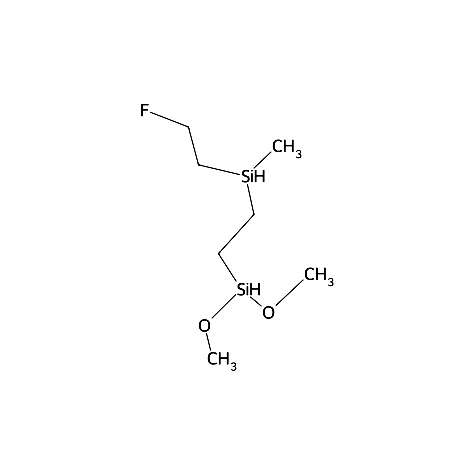 CO[SiH](CC[SiH](C)CCF)OC